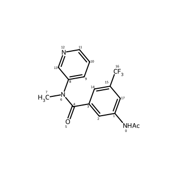 CC(=O)Nc1cc(C(=O)N(C)c2cccnc2)cc(C(F)(F)F)c1